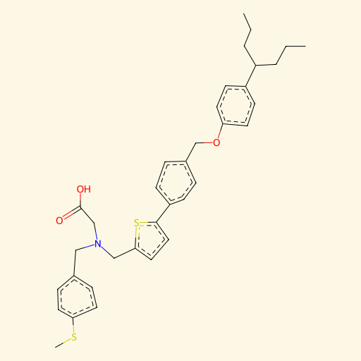 CCCC(CCC)c1ccc(OCc2ccc(-c3ccc(CN(CC(=O)O)Cc4ccc(SC)cc4)s3)cc2)cc1